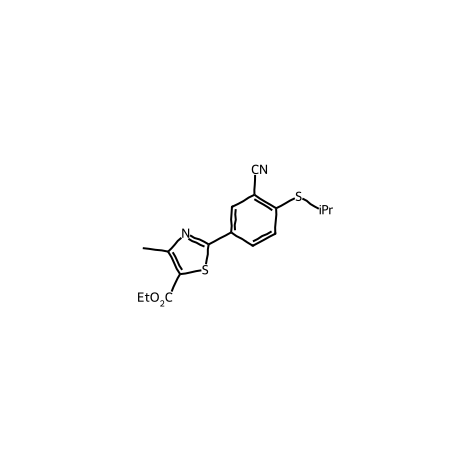 CCOC(=O)c1sc(-c2ccc(SC(C)C)c(C#N)c2)nc1C